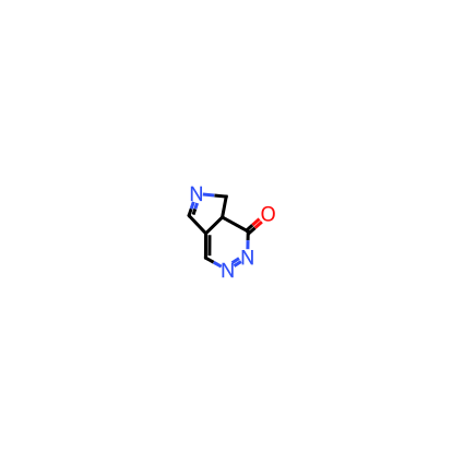 O=C1N=NC=C2C=NCC12